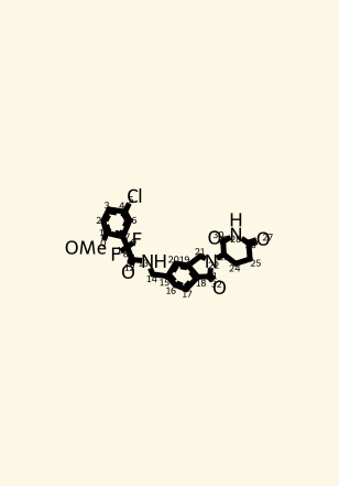 COc1ccc(Cl)cc1C(F)(F)C(=O)NCc1ccc2c(c1)CN(C1CCC(=O)NC1=O)C2=O